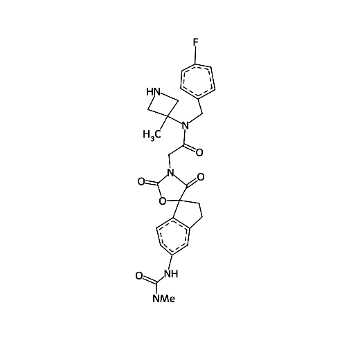 CNC(=O)Nc1ccc2c(c1)CCC21OC(=O)N(CC(=O)N(Cc2ccc(F)cc2)C2(C)CNC2)C1=O